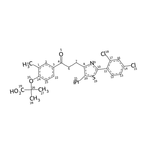 Cc1cc(C(=O)CCc2nc(-c3ccc(Cl)cc3Cl)sc2C(C)C)ccc1OC(C)(C)C(=O)O